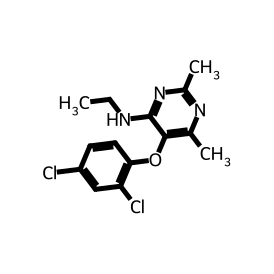 CCNc1nc(C)nc(C)c1Oc1ccc(Cl)cc1Cl